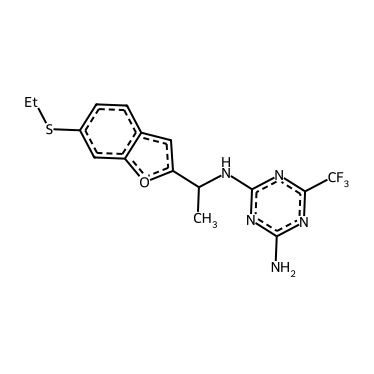 CCSc1ccc2cc(C(C)Nc3nc(N)nc(C(F)(F)F)n3)oc2c1